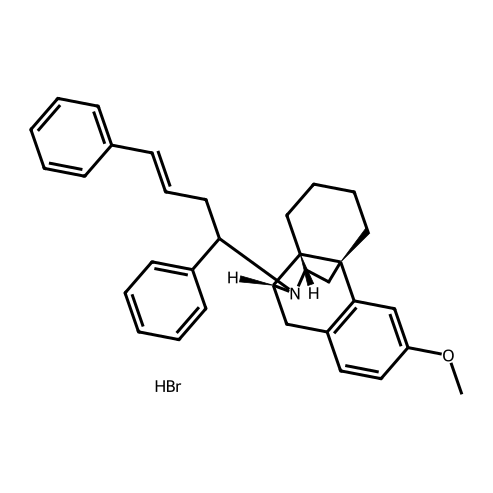 Br.COc1ccc2c(c1)[C@@]13CCCC[C@H]1[C@@H](C2)N(C(C/C=C/c1ccccc1)c1ccccc1)CC3